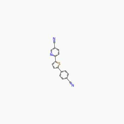 N#Cc1ccc(-c2ccc(-c3ccc(C#N)cn3)s2)cc1